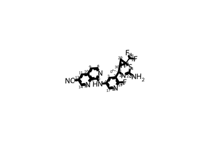 C[C@@]1(c2cc(Nc3nccc4cc(C#N)cnc34)cnc2F)N=C(N)S[C@@]2(C(F)F)C[C@@H]12